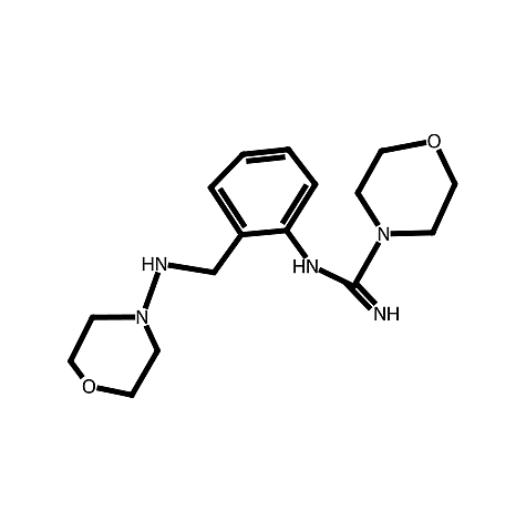 N=C(Nc1ccccc1CNN1CCOCC1)N1CCOCC1